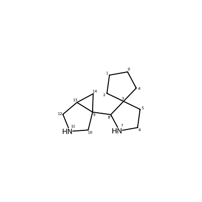 C1CCC2(C1)CCN[C]2C12CNCC1C2